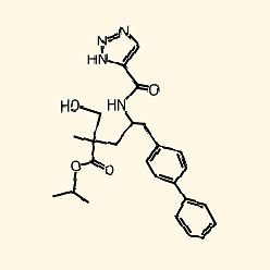 CC(C)OC(=O)C(C)(CO)CC(Cc1ccc(-c2ccccc2)cc1)NC(=O)c1cnn[nH]1